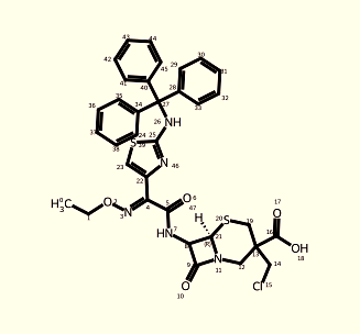 CCON=C(C(=O)NC1C(=O)N2CC(CCl)(C(=O)O)CS[C@H]12)c1csc(NC(c2ccccc2)(c2ccccc2)c2ccccc2)n1